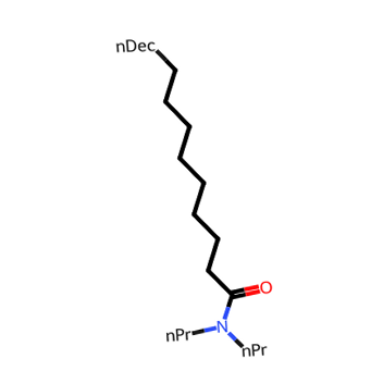 CCCCCCCCCCCCCCCCCCC(=O)N(CCC)CCC